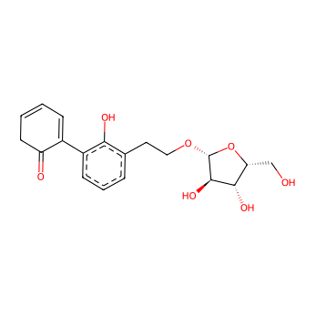 O=C1CC=CC=C1c1cccc(CCO[C@@H]2O[C@H](CO)[C@H](O)[C@H]2O)c1O